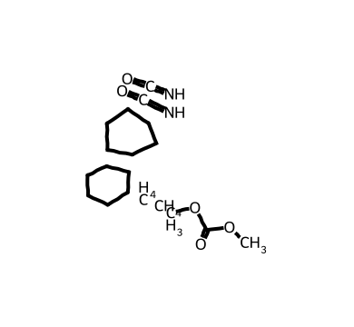 C.C.C1CCCCC1.C1CCCCC1.COC(=O)OC.N=C=O.N=C=O